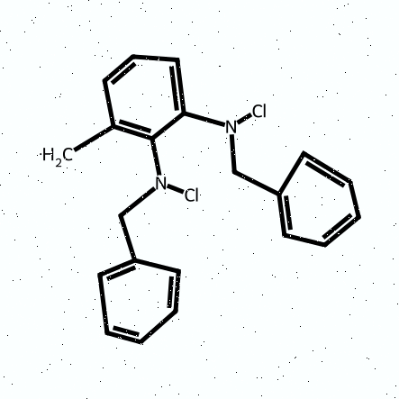 [CH2]c1cccc(N(Cl)Cc2ccccc2)c1N(Cl)Cc1ccccc1